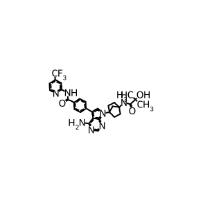 CC(C)(O)C(=O)NC12CCC(n3cc(-c4ccc(C(=O)Nc5cc(C(F)(F)F)ccn5)cc4)c4c(N)ncnc43)(CC1)C2